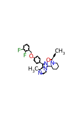 CC#CC(=O)N1CCCCC1c1nc(-c2ccc(OCc3cccc(F)c3F)cc2)c2c(C)nccn12